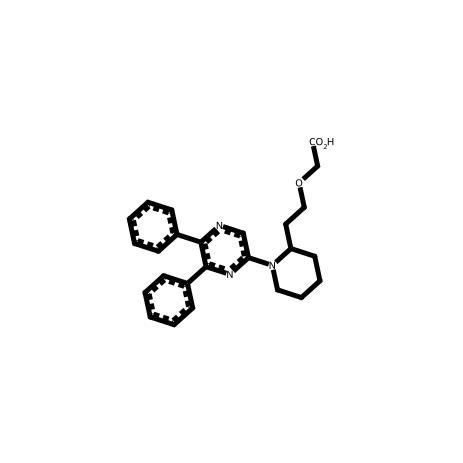 O=C(O)COCCC1CCCCN1c1cnc(-c2ccccc2)c(-c2ccccc2)n1